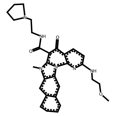 COCCNc1ccc2c(=O)c(C(=O)NCCN3CCCC3)c3n(C)c4cc5ccccc5cc4n3c2n1